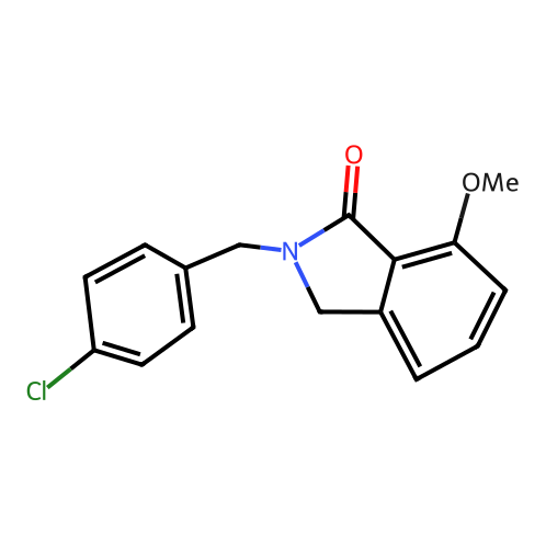 COc1cccc2c1C(=O)N(Cc1ccc(Cl)cc1)C2